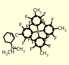 C[NH+](C)C1CCCCC1.Cc1c(F)c(F)c([B-](c2c(F)c(F)c(C)c(F)c2F)(c2c(F)c(F)c(C)c(F)c2F)c2c(F)c(F)c(C)c(F)c2F)c(F)c1F